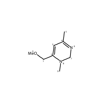 COCC1=CC(C)=NCN1C